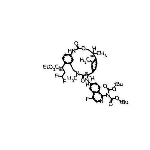 CCOC(=O)[C@H](CC(F)F)c1ccc2cc1CN(C)C(=O)[C@H](Nc1ccc3c(N(C(=O)OC(C)(C)C)C(=O)OC(C)(C)C)ncc(F)c3c1)c1ccc(c(C)c1)[C@@H](C)COC(=O)N2